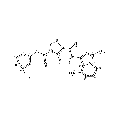 Cn1cc(-c2ccc3c(c2Cl)CCN3C(=O)Cc2cccc(C(F)(F)F)n2)c2c(N)ncnc21